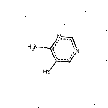 Nc1ncncc1S